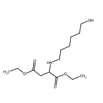 CCOC(=O)CC(NCCCCCCO)C(=O)OCC